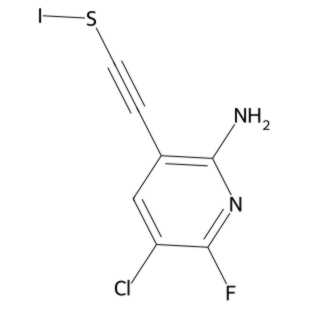 Nc1nc(F)c(Cl)cc1C#CSI